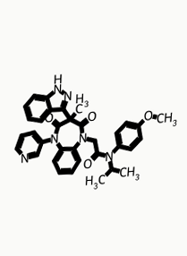 COc1ccc(N(C(=O)CN2C(=O)C(C)(c3n[nH]c4ccccc34)C(=O)N(c3cccnc3)c3ccccc32)C(C)C)cc1